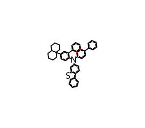 c1ccc(-c2ccc(N(c3ccc4c(c3)sc3ccccc34)c3ccc(C45CCCCC4CCCC5)cc3-c3ccccc3)cc2)cc1